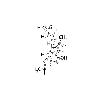 CNC1CCC2(C)C(C1)CC(O)C1C2CCC2(C)C(C(C)CCC(O)C(C)C)CCC12